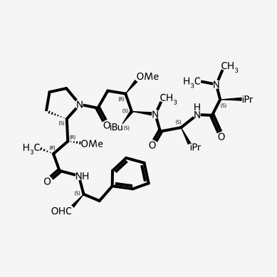 CC[C@H](C)[C@@H]([C@@H](CC(=O)N1CCC[C@H]1[C@H](OC)[C@@H](C)C(=O)N[C@H](C=O)Cc1ccccc1)OC)N(C)C(=O)[C@@H](NC(=O)[C@H](C(C)C)N(C)C)C(C)C